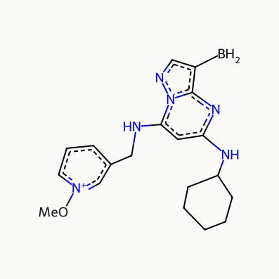 Bc1cnn2c(NCc3ccc[n+](OC)c3)cc(NC3CCCCC3)nc12